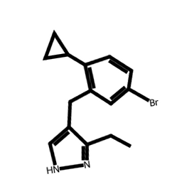 CCc1n[nH]cc1Cc1cc(Br)ccc1C1CC1